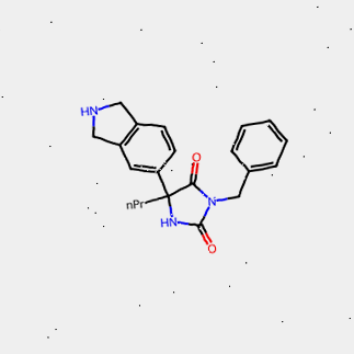 CCCC1(c2ccc3c(c2)CNC3)NC(=O)N(Cc2ccccc2)C1=O